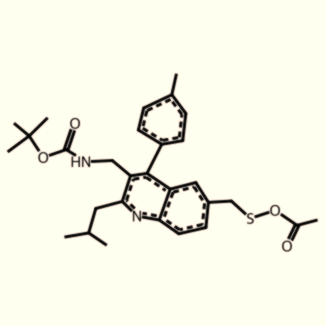 CC(=O)OSCc1ccc2nc(CC(C)C)c(CNC(=O)OC(C)(C)C)c(-c3ccc(C)cc3)c2c1